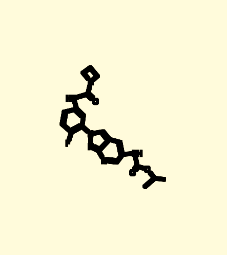 CC(C)OC(=O)Nc1cnc2nn(-c3cc(NC(=O)N4CCC4)ccc3F)cc2c1